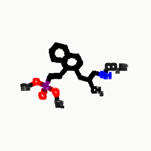 CCOC(=O)NCC(C)Cc1ccc2ccccc2c1C=CP(=O)(OCC)OCC